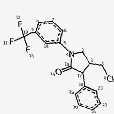 CCC1CN(c2cccc(C(F)(F)F)c2)C(=O)C1c1ccccc1